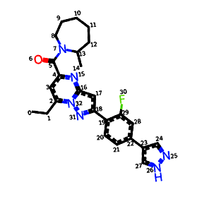 CCc1cc(C(=O)N2CCCCCC2C)nc2cc(-c3ccc(-c4cn[nH]c4)cc3F)nn12